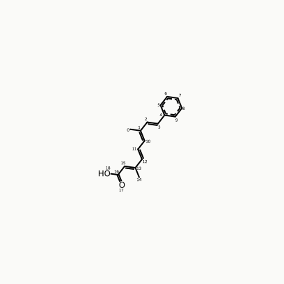 CC(C=Cc1ccccc1)=CC=CC(C)=CC(=O)O